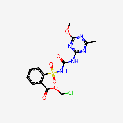 COc1nc(C)nc(NC(=O)NS(=O)(=O)c2ccccc2C(=O)OCCl)n1